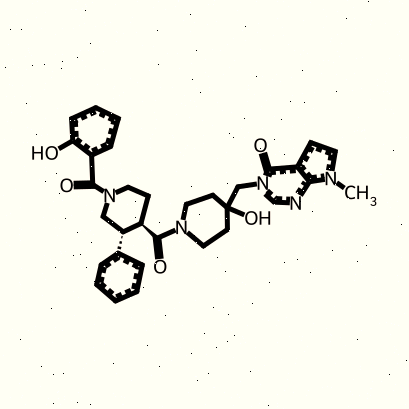 Cn1ccc2c(=O)n(CC3(O)CCN(C(=O)[C@@H]4CCN(C(=O)c5ccccc5O)C[C@H]4c4ccccc4)CC3)cnc21